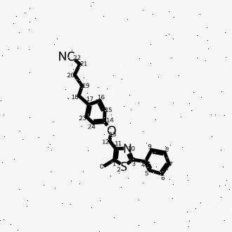 Cc1sc(-c2ccccc2)nc1COc1ccc(CCC[CH]C#N)cc1